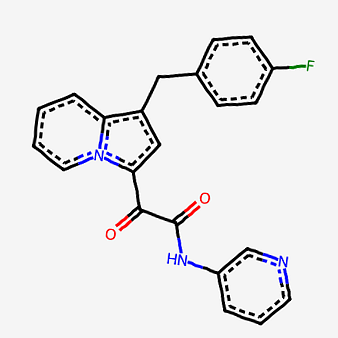 O=C(Nc1cccnc1)C(=O)c1cc(Cc2ccc(F)cc2)c2ccccn12